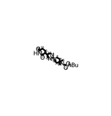 CCCCOC(=O)N1CC2(CCN(c3ncc(C4CCC(=O)NC4=O)cn3)CC2)C1